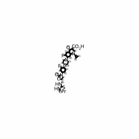 CCCNC(=S)NC[C@H]1CN(c2ccc(N3CCN(c4cc5c(cc4F)c(=O)c(C(=O)O)cn5C4CC4)CC3)c(F)c2)C(=O)O1